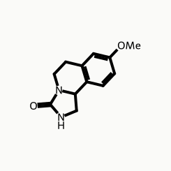 COc1ccc2c(c1)CCN1C(=O)NCC21